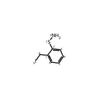 NSc1ccccc1CI